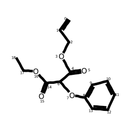 C=CCOC(=O)C(Oc1ccccc1)C(=O)OCC